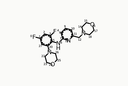 Fc1cc(F)c(Nc2cccc(CN3CCOCC3)n2)c(N2CCOCC2)c1